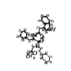 COC(=O)CN(CCC1CCCCC1)C(=O)C(Cc1ccccc1)NC(=O)Cc1c[nH]c2ccccc12